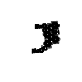 COCOc1ccc(C(c2ccc(OCOC)cc2)c2ccccc2CNC2CCCc3ccccc32)cc1